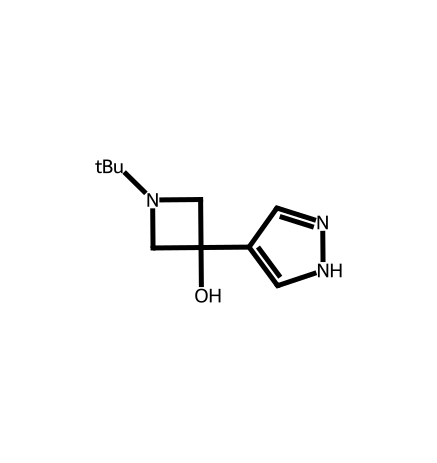 CC(C)(C)N1CC(O)(c2cn[nH]c2)C1